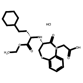 CCOC(=O)[C@H](CCC1CCCCC1)N[C@H]1CSc2ccccc2N(CC(=O)O)C1=O.Cl